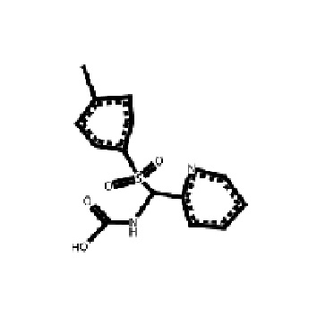 Cc1ccc(S(=O)(=O)C(NC(=O)O)c2ccccn2)cc1